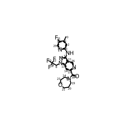 Cc1cc(Nc2nn(CC(F)(F)F)c3cc(C(=O)N4CCCOCC4)ncc23)ncc1F